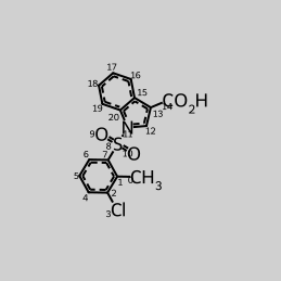 Cc1c(Cl)cccc1S(=O)(=O)n1cc(C(=O)O)c2ccccc21